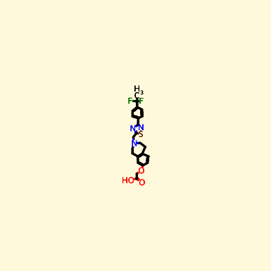 CC(F)(F)c1ccc(-c2nsc(CN3CCc4ccc(OCC(=O)O)cc4CC3)n2)cc1